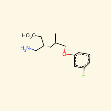 CC(COc1cccc(F)c1)C[C@H](CN)CC(=O)O